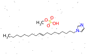 CCCCCCCCC=CCCCCCCCCn1ccnc1.COS(=O)(=O)O